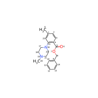 Cc1ccc(C(=O)OCc2ccccc2)c(N2CCN(C)CC2)c1